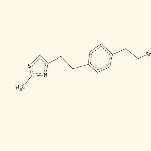 Cc1nc(CCc2ccc(CCS)cc2)cs1